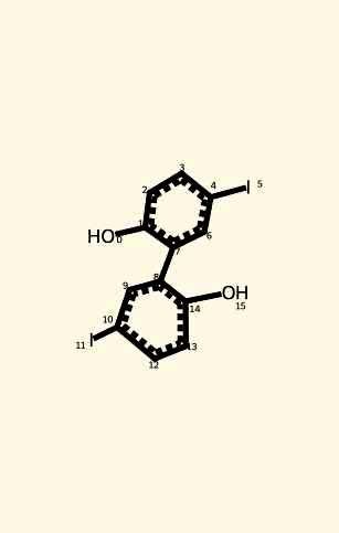 Oc1ccc(I)cc1-c1cc(I)ccc1O